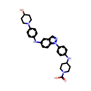 O=C(O)N1CCC(Nc2ccc(-n3ncc4cc(Nc5ccc(N6CCC(O)CC6)cc5)ccc43)cc2)CC1